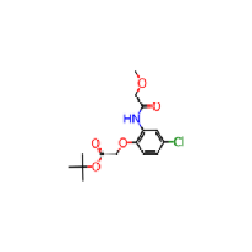 COCC(=O)Nc1cc(Cl)ccc1OCC(=O)OC(C)(C)C